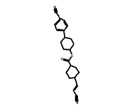 N#CC=CC1CCC(C(=O)OC2CCC(c3ccc(C#N)cc3)CC2)CC1